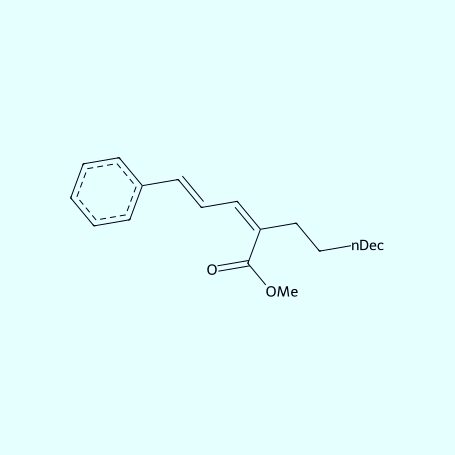 CCCCCCCCCCCCC(=CC=Cc1ccccc1)C(=O)OC